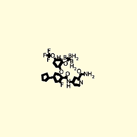 BC(B)(B)Oc1cc(OC(F)(F)F)ccc1Oc1cc(C2=CCCC2)cc(F)c1C(=O)Nc1ccnc(C(N)=O)c1